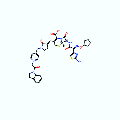 Nc1nc(C(=NOC2CCCC2)C(=O)N[C@@H]2C(=O)N3C(C(=O)[O-])=C(C=C4CCN(Cc5cc[n+](CC(=O)N6CCc7ccccc76)cc5)C4=O)CS[C@H]23)cs1